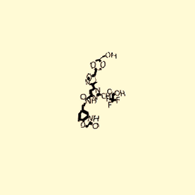 Cc1nc(C(=O)NCc2ccc3c(c2)NC(=O)CO3)cc(C2=NO[C@H]([C@H]3CO[C@H](CO)CO3)C2)n1.O=C(O)C(F)(F)F